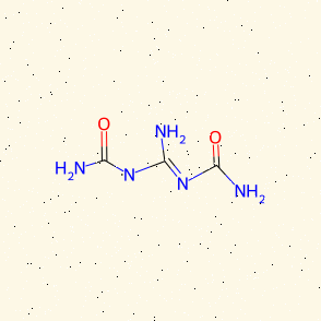 NC(=O)[N]/C(N)=N/C(N)=O